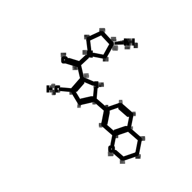 Cc1cc(-c2ccc3c(c2)OCCC3)sc1C(=O)N1CC[C@H](N)C1